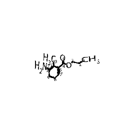 CCCOC(=O)c1cccc(N)c1C